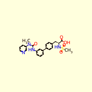 CN(C(=O)Nc1cccc(-c2ccc(C[C@H](NS(C)(=O)=O)C(=O)O)cc2)c1)c1cccnc1